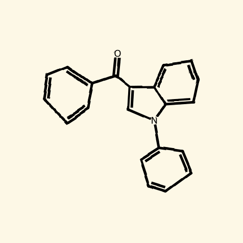 O=C(c1ccccc1)c1cn(-c2ccccc2)c2ccccc12